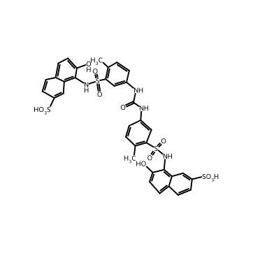 Cc1ccc(NC(=O)Nc2ccc(C)c(S(=O)(=O)Nc3c(O)ccc4ccc(S(=O)(=O)O)cc34)c2)cc1S(=O)(=O)Nc1c(O)ccc2ccc(S(=O)(=O)O)cc12